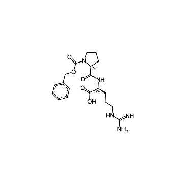 N=C(N)NCCC[C@H](NC(=O)[C@@H]1CCCN1C(=O)OCc1ccccc1)C(=O)O